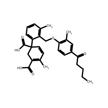 CCCCC(=O)c1ccc(OCc2c(C)cccc2C2(C(=O)O)C=CC(C)=C(C(=O)O)C2)c(C)c1